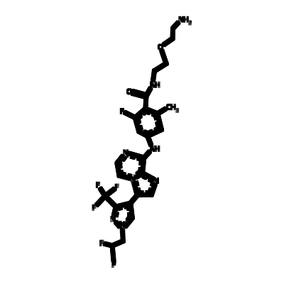 Cc1cc(Nc2nccn3c(-c4cn(CC(F)F)nc4C(F)(F)F)cnc23)cc(F)c1C(=O)NCCOCCN